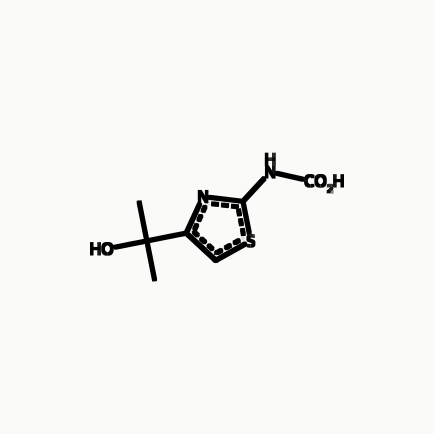 CC(C)(O)c1csc(NC(=O)O)n1